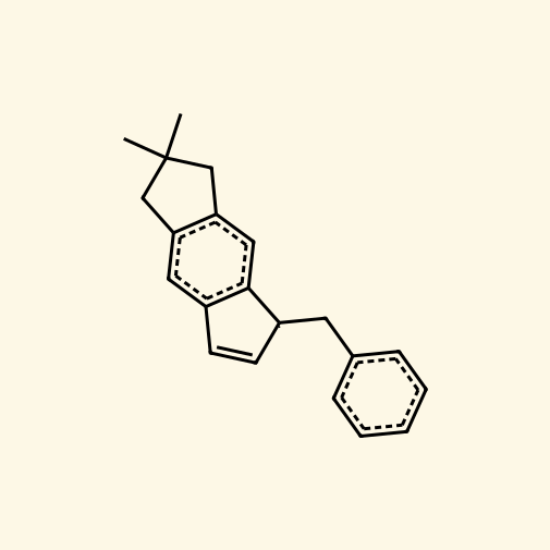 CC1(C)Cc2cc3c(cc2C1)[C](Cc1ccccc1)C=C3